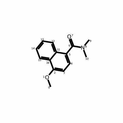 COc1ccc(C(=O)N(C)C)c2ccccc12